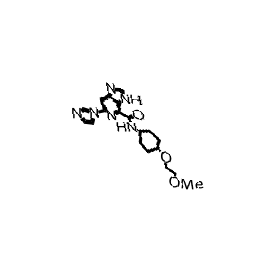 COCCO[C@H]1CC[C@H](NC(=O)c2nc(-n3ccnc3)cc3nc[nH]c23)CC1